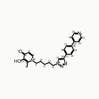 Cc1c(O)c(=O)ccn1CCCCCn1cc(-c2ccc(-c3ccncc3)cc2)nn1